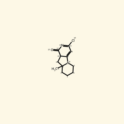 CC12CCCCN1C1=CC(Cl)=NC(=O)C1C2